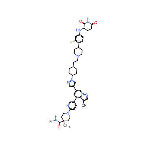 CC(C)NC(=O)C1(C)CCN(c2ccc(-c3cc(-c4cnn([C@H]5CC[C@H](CCN6CCC(c7ccc(NC8CCC(=O)NC8=O)cc7F)CC6)CC5)c4)cn4ncc(C#N)c34)cn2)CC1